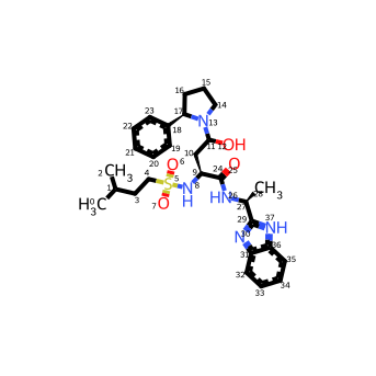 CC(C)CCS(=O)(=O)N[C@@H](CC(O)N1CCC[C@@H]1c1ccccc1)C(=O)N[C@@H](C)c1nc2ccccc2[nH]1